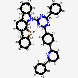 c1ccc(-c2cccc(-c3ccc(-c4nc(-c5ccccc5)nc(-n5c6ccccc6c6ccc7c8ccccc8sc7c65)n4)cc3)n2)cc1